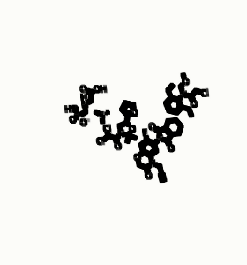 C#CCN1C(=O)COc2cc(F)c(N3C(=O)C4=C(CCCC4)C3=O)cc21.CC1(C)OC(c2ccco2)CN1C(=O)C(Cl)Cl.CCc1cccc(CC)c1N(COC)C(=O)CCl.C[S+](C)C.O=C(O)CNCP(=O)([O-])O